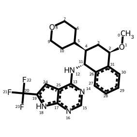 CO[C@@H]1C[C@H](C2CCOCC2)[C@@H](Nc2ncnc3[nH]c(C(F)(F)F)cc23)c2ccccc21